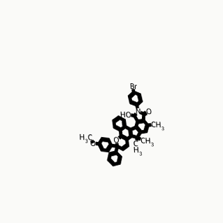 COc1ccc(C2(c3ccccc3)C=Cc3c4c(c5ccccc5c3O2)-c2c(cc(C)c3c2C(O)N(c2ccc(Br)cc2)C3=O)C4(C)C)cc1